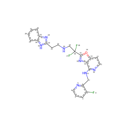 Fc1cccnc1CNc1nccc2oc(C(F)(F)CNCCc3nc4ccccc4[nH]3)nc12